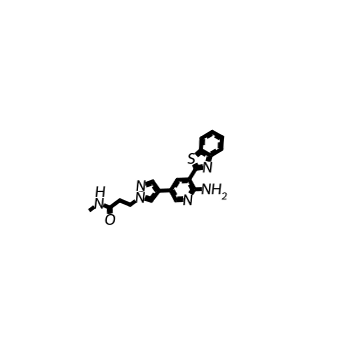 CNC(=O)CCn1cc(-c2cnc(N)c(-c3nc4ccccc4s3)c2)cn1